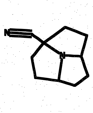 N#CC12CCC3CCC(CC1)N32